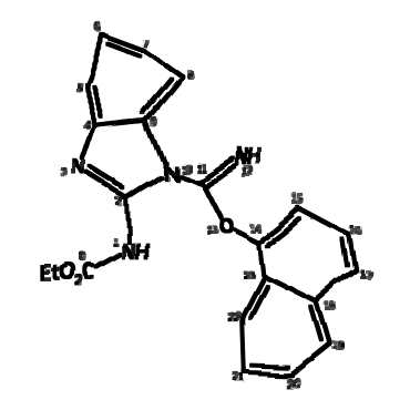 CCOC(=O)Nc1nc2ccccc2n1C(=N)Oc1cccc2ccccc12